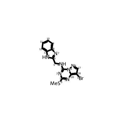 CSc1nc(NCc2nc3ccccc3[nH]2)n2ncc(Br)c2n1